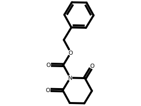 O=C1CCCC(=O)N1C(=O)OCc1ccccc1